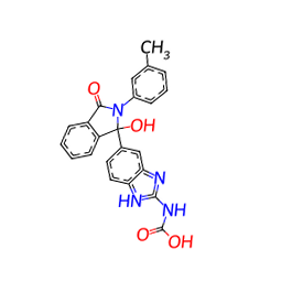 Cc1cccc(N2C(=O)c3ccccc3C2(O)c2ccc3[nH]c(NC(=O)O)nc3c2)c1